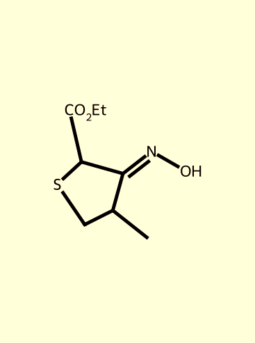 CCOC(=O)C1SCC(C)C1=NO